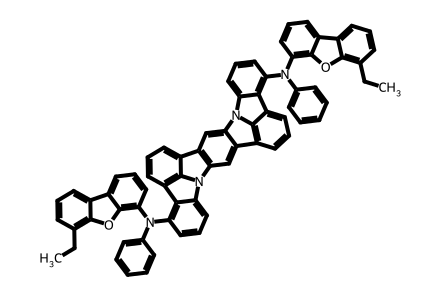 CCc1cccc2c1oc1c(N(c3ccccc3)c3cccc4c3c3cccc5c6cc7c(cc6n4c53)c3cccc4c5c(N(c6ccccc6)c6cccc8c6oc6c(CC)cccc68)cccc5n7c34)cccc12